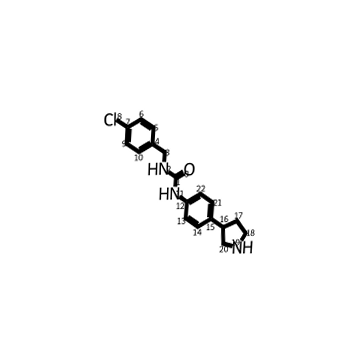 O=C(NCc1ccc(Cl)cc1)Nc1ccc(C2CCNC2)cc1